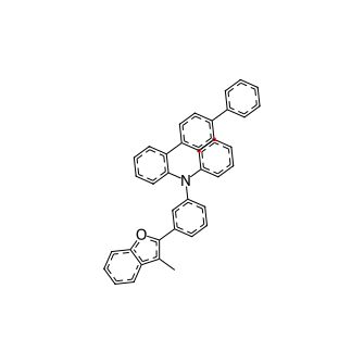 Cc1c(-c2cccc(N(c3ccccc3)c3ccccc3-c3ccc(-c4ccccc4)cc3)c2)oc2ccccc12